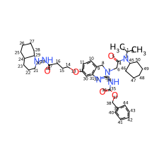 CC(C)N(C(=O)CN1Cc2ccc(OCCCC(=O)NN3CCCC4CCCCC43)cc2N=C1NC(=O)OCc1ccccc1)C1CCCCC1